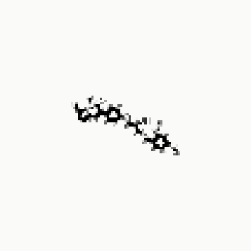 COC(=O)/C(=C\c1ccc(C)s1)c1ccc(OCC(O)CNCc2ccc(OC)cc2OC)cc1